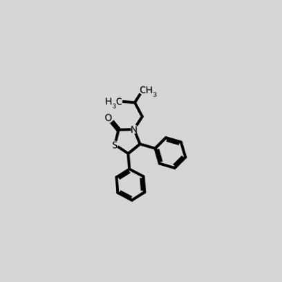 CC(C)CN1C(=O)SC(c2ccccc2)C1c1ccccc1